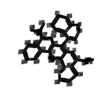 CC(C)c1cc2c(-c3cccc4ccccc34)c3cc(N(C)C)c4ccccc4c3nc2c2ccccc12